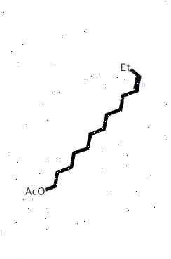 CC/C=C\CCCCCCCCCCOC(C)=O